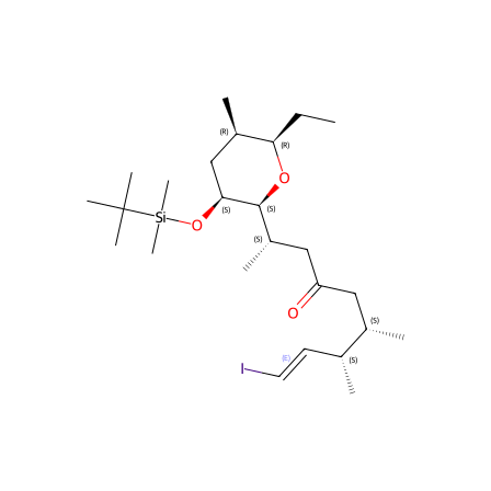 CC[C@H]1O[C@@H]([C@@H](C)CC(=O)C[C@H](C)[C@H](C)/C=C/I)[C@@H](O[Si](C)(C)C(C)(C)C)C[C@H]1C